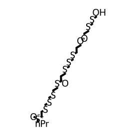 CCC[S+]([O-])CCSCSCSCCSC(=O)CCSCSCSCCCOOCCSCSCO